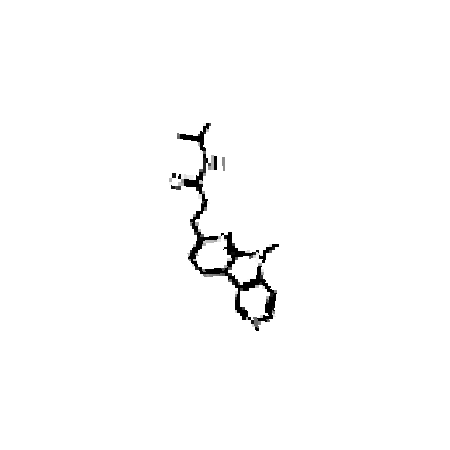 CC(C)NC(=O)CCc1ccc2c3cnccc3n(C)c2n1